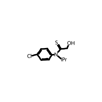 CC(C)N(C(=S)CO)c1ccc(Cl)cc1